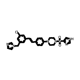 O=S(=O)(c1c[nH]cn1)N1CCN(c2ccc(/C=C/c3cc(Cl)cc(Cn4ccnc4)c3)cc2)CC1